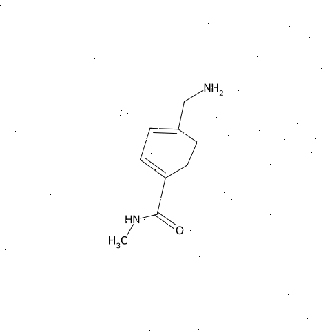 CNC(=O)C1=CC=C(CN)CC1